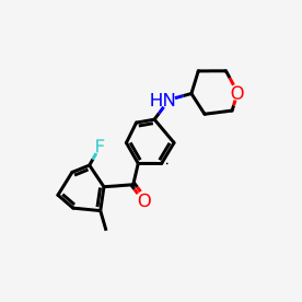 Cc1cccc(F)c1C(=O)c1[c]cc(NC2CCOCC2)cc1